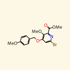 COC(=O)c1nc(Br)cc(OCc2ccc(OC)cc2)c1OC